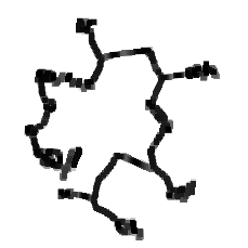 CC(C#N)CC(N=NC(CC(C)C#N)C(=O)O)C(=O)O.O=S(=O)(O)OOS(=O)(=O)O